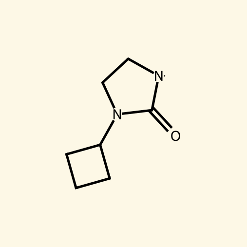 O=C1[N]CCN1C1CCC1